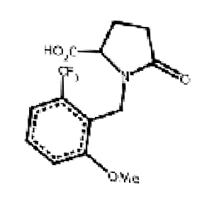 COc1cccc(C(F)(F)F)c1CN1C(=O)CCC1C(=O)O